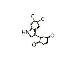 O=C1C=CC(=O)C(c2c[nH]c3cc(Cl)c(Cl)cc23)=C1